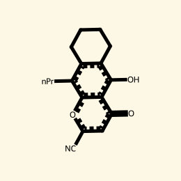 CCCc1c2c(c(O)c3c(=O)cc(C#N)oc13)CCCC2